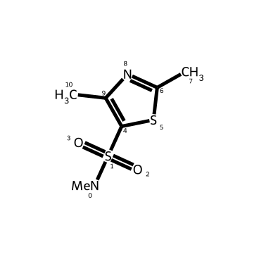 CNS(=O)(=O)c1sc(C)nc1C